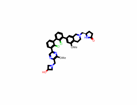 COc1cc(-c2cccc(-c3cccc(-c4cnc(CN5CC(O)C5)c(OC)n4)c3Cl)c2Cl)cc2c1CCN(C[C@H]1CCC(=O)N1)C2